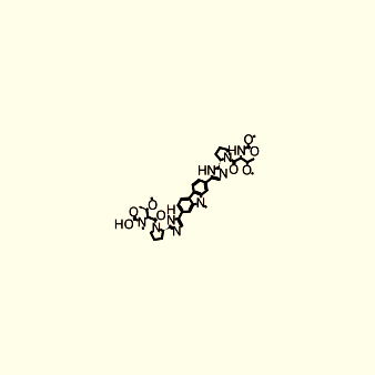 COC(=O)N[C@H](C(=O)N1CCC[C@H]1c1ncc(-c2ccc3c4ccc(-c5cnc([C@@H]6CCCN6C(=O)[C@H]([C@@H](C)OC)N(C)C(=O)O)[nH]5)cc4n(C)c3c2)[nH]1)C(C)OC